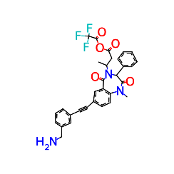 CC(CC(=O)OC(=O)C(F)(F)F)N1C(=O)c2cc(C#Cc3cccc(CN)c3)ccc2N(C)C(=O)C1c1ccccc1